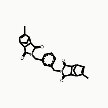 CC1=CC2CC1C1C(=O)N(Cc3cccc(CN4C(=O)C5C6C=C(C)C(C6)C5C4=O)c3)C(=O)C21